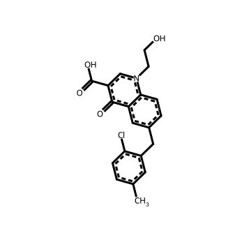 Cc1ccc(Cl)c(Cc2ccc3c(c2)c(=O)c(C(=O)O)cn3CCO)c1